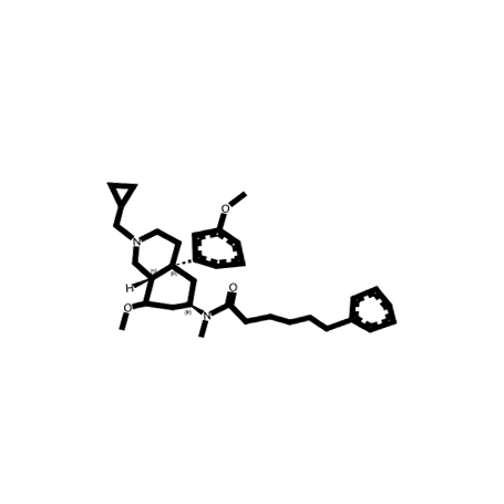 COc1cccc([C@@]23CCN(CC4CC4)C[C@H]2C(OC)C[C@H](N(C)C(=O)CCCCCc2ccccc2)C3)c1